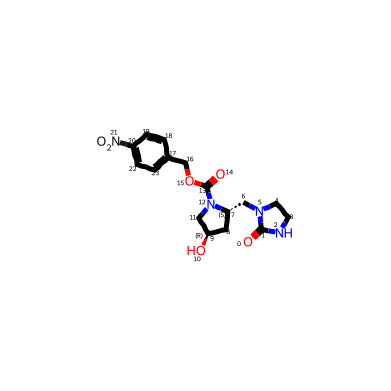 O=C1NCCN1C[C@@H]1C[C@@H](O)CN1C(=O)OCc1ccc([N+](=O)[O-])cc1